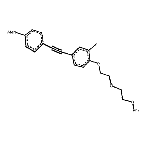 CCCOCCOCCOc1ccc(C#Cc2ccc(NC)cc2)cc1C